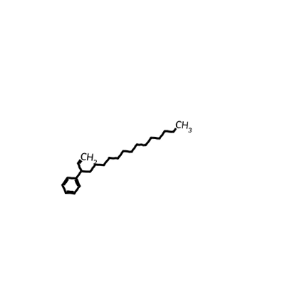 C=CC(CCCCCCCCCCCCCC)c1ccccc1